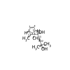 C=C1[C@@H]2C=C[C@@H](C2)[C@@]1(C)C(O)C#CC(C)(C)O